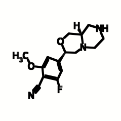 COc1cc([C@@H]2CN3CCNC[C@H]3CO2)cc(F)c1C#N